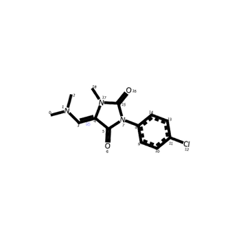 CN(C)/C=C1/C(=O)N(c2ccc(Cl)cc2)C(=O)N1C